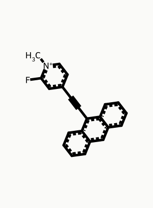 C[n+]1ccc(C#Cc2c3ccccc3cc3ccccc23)cc1F